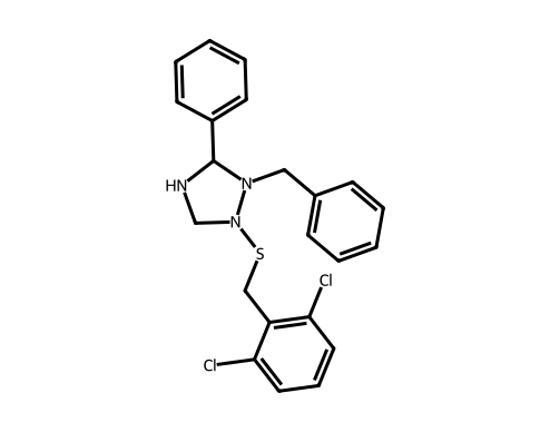 Clc1cccc(Cl)c1CSN1CNC(c2ccccc2)N1Cc1ccccc1